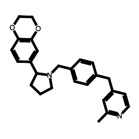 Cc1cc(Cc2ccc(CN3CCCC3c3ccc4c(c3)OCCO4)cc2)ccn1